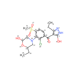 CCc1n[nH]c(O)c1C(=O)c1ccc(S(C)(=O)=O)c(N2CC(O)OC(CC)C2)c1Cl